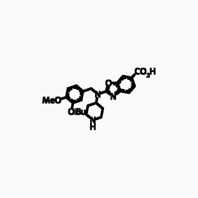 COc1ccc(CN(c2nc3ccc(C(=O)O)cc3o2)C2CCNCC2)cc1OCC(C)C